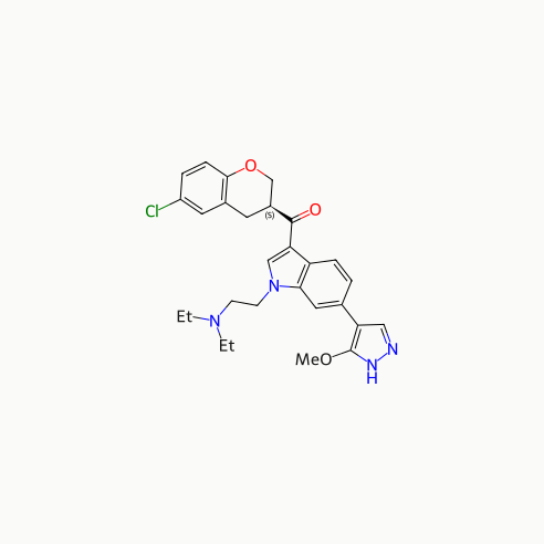 CCN(CC)CCn1cc(C(=O)[C@@H]2COc3ccc(Cl)cc3C2)c2ccc(-c3cn[nH]c3OC)cc21